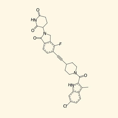 Cc1c(C(=O)N2CCC(C#Cc3ccc4c(c3F)CN(C3CCC(=O)NC3=O)C4=O)CC2)[nH]c2cc(Cl)ccc12